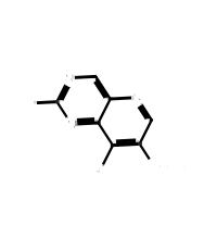 CCOC(=O)c1cnc2cnc(O)nc2c1Br